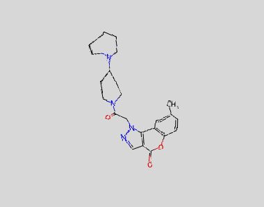 Cc1ccc2oc(=O)c3cnn(CC(=O)N4CCC(N5CCCCC5)CC4)c3c2c1